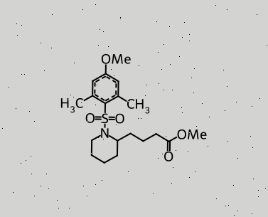 COC(=O)CCCC1CCCCN1S(=O)(=O)c1c(C)cc(OC)cc1C